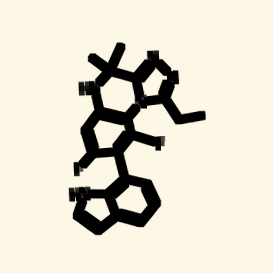 CCc1nnc2n1-c1c(cc(F)c(-c3cccc4cc[nH]c34)c1F)NC2(C)C